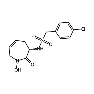 O=C1[C@H](NS(=O)(=O)Cc2ccc(Cl)cc2)CC=CCN1O